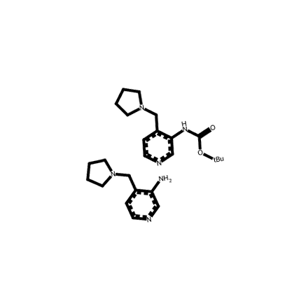 CC(C)(C)OC(=O)Nc1cnccc1CN1CCCC1.Nc1cnccc1CN1CCCC1